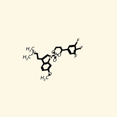 COc1ccc2c(CCN(C)C)cn(P3(=O)OCCC(c4cc(F)c(F)c(F)c4)O3)c2c1